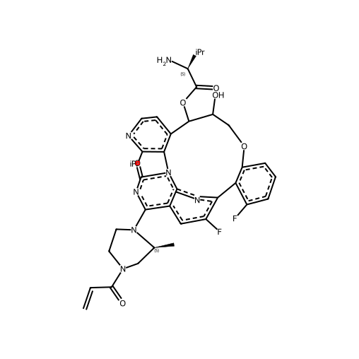 C=CC(=O)N1CCN(c2nc(=O)n3c4nc(c(F)cc24)-c2c(F)cccc2OCC(O)C(OC(=O)[C@@H](N)C(C)C)c2ccnc(C(C)C)c2-3)[C@@H](C)C1